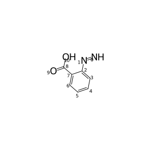 N=Nc1ccccc1C(=O)O